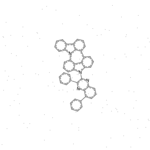 c1ccc(-c2nc3c(-c4ccccc4)cccc3nc2-n2c3cccc4c5cccc6c7ccccc7n(c7cccc2c7c43)c56)cc1